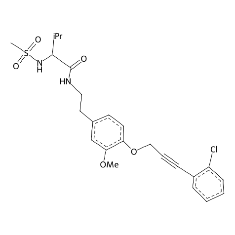 COc1cc(CCNC(=O)C(NS(C)(=O)=O)C(C)C)ccc1OCC#Cc1ccccc1Cl